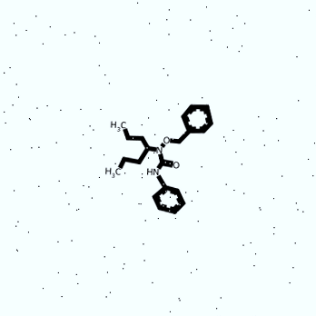 CCCC(CCC)N(OCc1ccccc1)C(=O)Nc1ccccc1